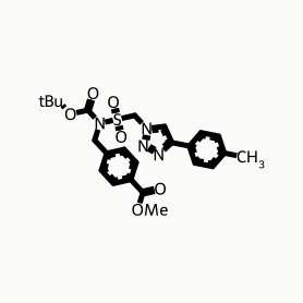 COC(=O)c1ccc(CN(C(=O)OC(C)(C)C)S(=O)(=O)Cn2cc(-c3ccc(C)cc3)nn2)cc1